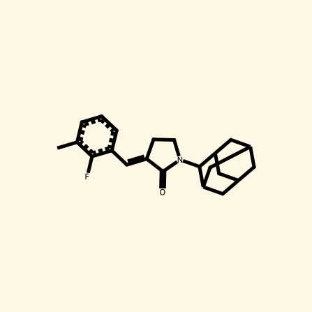 Cc1cccc(/C=C2\CCN(C3C4CC5CC(C4)CC3C5)C2=O)c1F